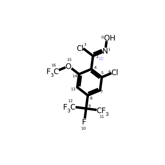 O/N=C(\Cl)c1c(Cl)cc(C(F)(C(F)(F)F)C(F)(F)F)cc1OC(F)(F)F